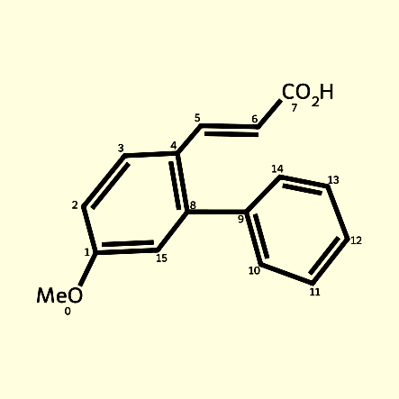 COc1ccc(C=CC(=O)O)c(-c2ccccc2)c1